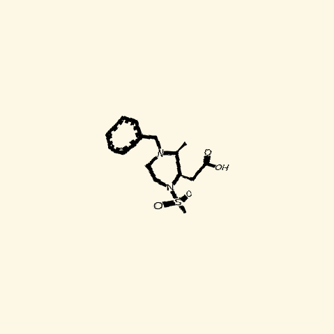 C[C@H]1[C@@H](CC(=O)O)N(S(C)(=O)=O)CCN1Cc1ccccc1